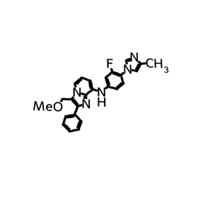 COCc1c(-c2ccccc2)nc2c(Nc3ccc(-n4cnc(C)c4)c(F)c3)cccn12